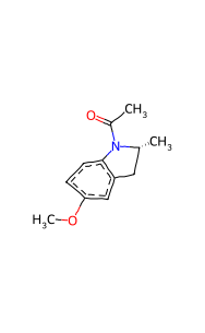 COc1ccc2c(c1)C[C@@H](C)N2C(C)=O